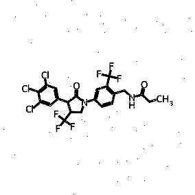 CCC(=O)NCc1ccc(N2CC(C(F)(F)F)C(c3cc(Cl)c(Cl)c(Cl)c3)C2=O)cc1C(F)(F)F